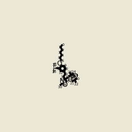 CCCCCCCOc1ccc(CCC2(COP(=O)(C(C)(C)C)C(C)(C)C)COC(C)=N2)cc1C(F)F